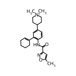 Cc1cc(C(=O)Nc2ccc(C3CC[N+](C)(C)CC3)cc2C2=CCCCC2)no1